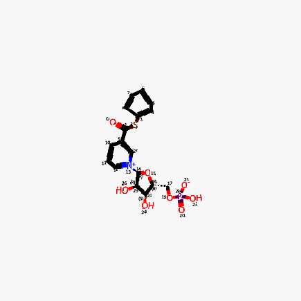 O=C(Sc1ccccc1)c1ccc[n+]([C@@H]2O[C@H](COP(=O)([O-])O)[C@@H](O)[C@H]2O)c1